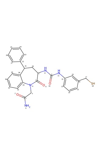 NC(=O)CN1C(=O)C(NC(=O)Nc2cccc(CS)c2)CC(c2ccccc2)c2ccccc21